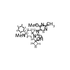 CN[C@]1(c2ccccc2)CC[C@]2(CC1)CN(c1cnc(C)nc1OC)C(=O)N2CC1(O)CCC1